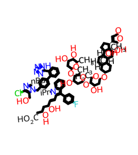 CC(C)n1c(/C=C/[C@@H](O)C[C@@H](O)CC(=O)O)c(-c2ccc(F)cc2)c2ccccc21.CCCCc1nc(Cl)c(CO)n1Cc1ccc(-c2ccccc2-c2nnn[nH]2)cc1.C[C@H]1O[C@@H](O[C@H]2[C@@H](O)C[C@H](O[C@H]3[C@@H](O)C[C@H](O[C@H]4CC[C@@]5(C)[C@H](CC[C@@H]6[C@@H]5C[C@@H](O)[C@]5(C)[C@@H](C7=CC(=O)OC7)CC[C@]65O)C4)O[C@@H]3C)O[C@@H]2C)C[C@H](O)[C@@H]1O